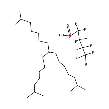 CC(C)CCCCCN(CCCCCC(C)C)CCCCCC(C)C.O=S(=O)(O)C(F)(F)C(F)(F)C(F)(F)C(F)(F)F